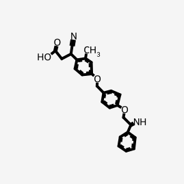 Cc1cc(OCc2ccc(OCC(=N)c3ccccc3)cc2)ccc1C(C#N)CC(=O)O